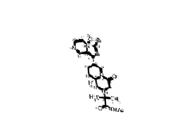 COC(=O)C(C)(C)N1CC(=O)N2C[C@@H](C3=C4C=NC=C[N+]4(Cl)C(Br)=N3)CC[C@@H]2C1